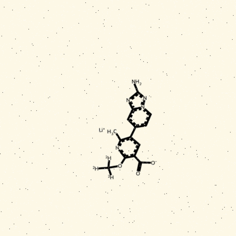 [2H]C([2H])([2H])Oc1nc(C)c(-c2ccn3nc(N)nc3c2)cc1C(=O)[O-].[Li+]